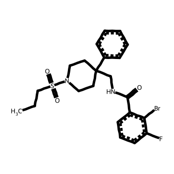 CCCS(=O)(=O)N1CCC(CNC(=O)c2cccc(F)c2Br)(c2ccccc2)CC1